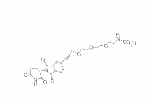 O=C(O)NCCOCCOCCOCC#Cc1ccc2c(c1)C(=O)N(C1CCC(=O)NC1=O)C2=O